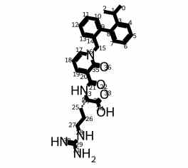 CC(C)c1ccccc1-c1ccccc1Cn1cccc(C(=O)N[C@@H](CCCNC(=N)N)C(=O)O)c1=O